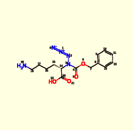 [N-]=[N+]=NN(C(=O)OCc1ccccc1)[C@@H](CCCCN)C(=O)O